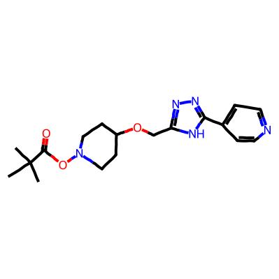 CC(C)(C)C(=O)ON1CCC(OCc2nnc(-c3ccncc3)[nH]2)CC1